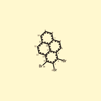 Brc1c(Br)c2ccc3cccc4ccc(c1Br)c2c34